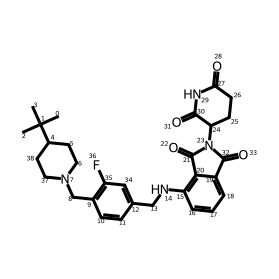 CC(C)(C)C1CCN(Cc2ccc(CNc3cccc4c3C(=O)N(C3CCC(=O)NC3=O)C4=O)cc2F)CC1